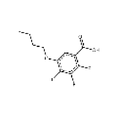 CCCCOc1cc(C(=O)O)c(F)c(F)c1F